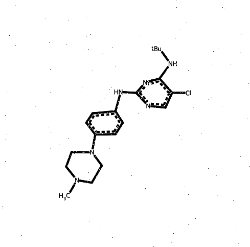 CN1CCN(c2ccc(Nc3ncc(Cl)c(NC(C)(C)C)n3)cc2)CC1